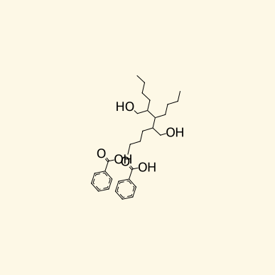 CCCCC(CO)C(CCCC)C(CO)CCCC.O=C(O)c1ccccc1.O=C(O)c1ccccc1